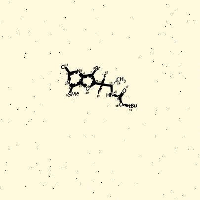 CSc1nc(Cl)nc2c(Br)c(C(F)(F)[C@H](C)NC(=O)OC(C)(C)C)oc12